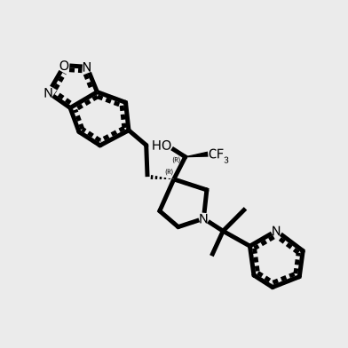 CC(C)(c1ccccn1)N1CC[C@@](CCc2ccc3nonc3c2)([C@@H](O)C(F)(F)F)C1